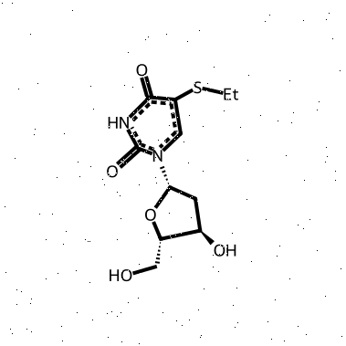 CCSc1cn([C@@H]2C[C@@H](O)[C@H](CO)O2)c(=O)[nH]c1=O